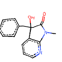 CN1C(=O)C(O)(c2ccccc2)c2cccnc21